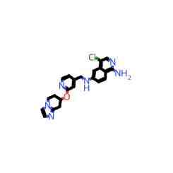 Nc1ncc(Cl)c2cc(NCc3ccnc(OC4CCn5ccnc5C4)c3)ccc12